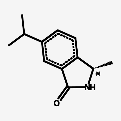 CC(C)c1ccc2c(c1)C(=O)N[C@H]2C